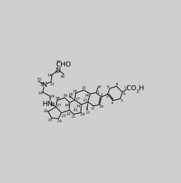 CC1C(C2=CCC(C(=O)O)CC2)=CC[C@@]2(C)C1CC[C@]1(C)C2CCC2C3CCC[C@]3(NCCN(C)CCN(C)C=O)CC[C@]21C